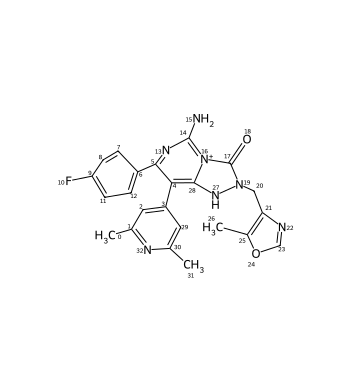 Cc1cc(-c2c(-c3ccc(F)cc3)nc(N)[n+]3c(=O)n(Cc4ncoc4C)[nH]c23)cc(C)n1